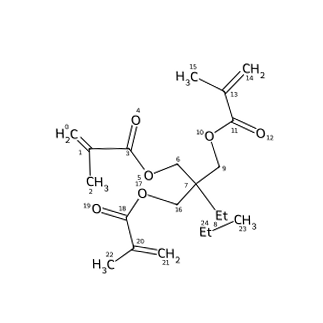 C=C(C)C(=O)OCC(CC)(COC(=O)C(=C)C)COC(=O)C(=C)C.CCC